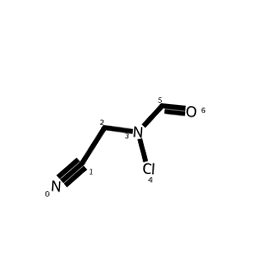 N#CCN(Cl)C=O